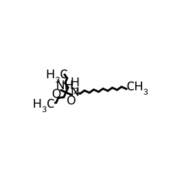 CCCCCCCCCCCCNC(=O)C(CCCC)(CCCC)C(N)=O